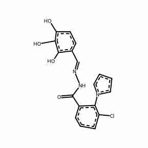 O=C(NN=Cc1ccc(O)c(O)c1O)c1cccc(Cl)c1-n1cccc1